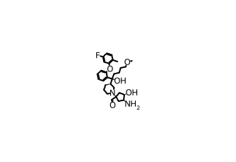 COCCCC[C@@](O)(c1ccccc1Oc1cc(F)ccc1C)[C@@H]1CCCN([C@@]2(C=O)C[C@@H](N)[C@@H](O)C2)C1